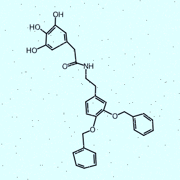 O=C(Cc1cc(O)c(O)c(O)c1)NCCc1ccc(OCc2ccccc2)c(OCc2ccccc2)c1